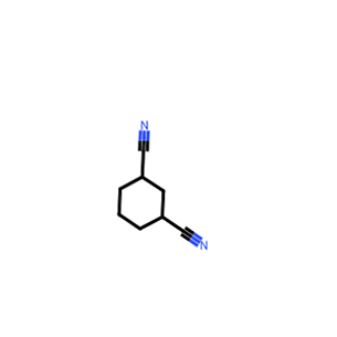 N#CC1CCCC(C#N)C1